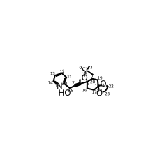 C[Si](C)(C)OC1(C#CC(O)c2ccccn2)CCC2(CC1)OCCO2